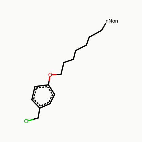 CCCCCCCCCCCCCCCCOc1ccc(CCl)cc1